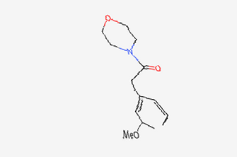 C/C=C\C(=C/C(C)OC)CC(=O)N1CCOCC1